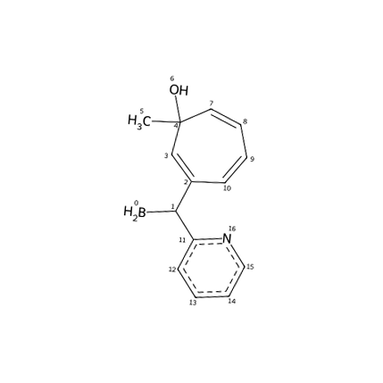 BC(C1=CC(C)(O)C=CC=C1)c1ccccn1